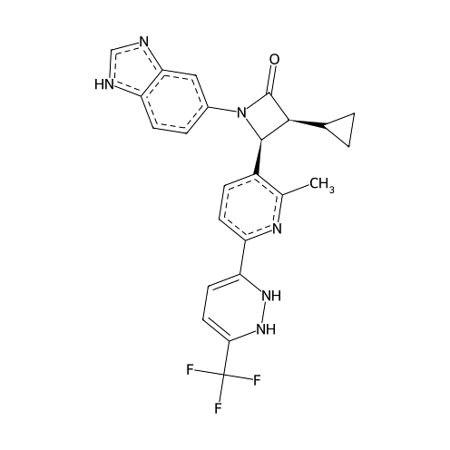 Cc1nc(C2=CC=C(C(F)(F)F)NN2)ccc1[C@@H]1[C@H](C2CC2)C(=O)N1c1ccc2[nH]cnc2c1